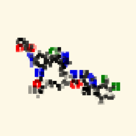 COC(=O)Nc1ccc2c(c1)NC(=O)[C@H](C)CCC[C@H](NC(O)c1cnn(-c3cccc(Cl)c3F)c1C)c1cc-2c(Cl)nn1